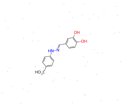 O=C(O)c1ccc(NN=Cc2ccc(O)c(O)c2)cc1